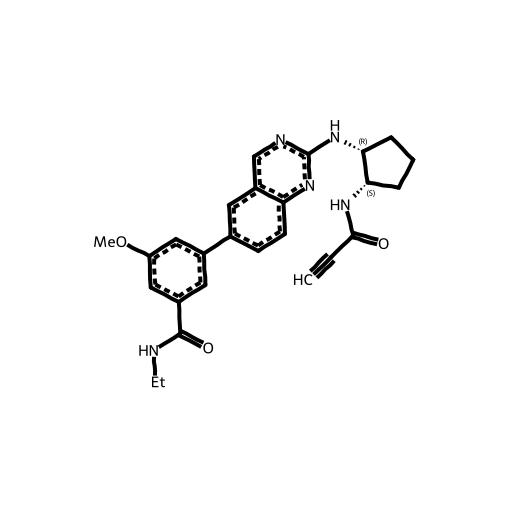 C#CC(=O)N[C@H]1CCC[C@H]1Nc1ncc2cc(-c3cc(OC)cc(C(=O)NCC)c3)ccc2n1